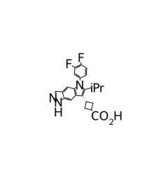 CC(C)c1c([C@H]2C[C@H](C(=O)O)C2)c2cc3[nH]ncc3cc2n1-c1ccc(F)c(F)c1